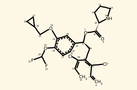 C=C/C(Cl)=C(C[C@H](OC(=O)[C@@H]1CCCN1)c1ccc(OC(F)F)c(OCC2CC2)c1)\C(Cl)=C/C